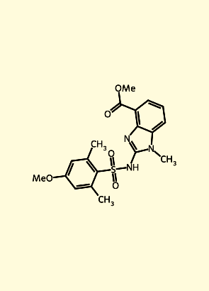 COC(=O)c1cccc2c1nc(NS(=O)(=O)c1c(C)cc(OC)cc1C)n2C